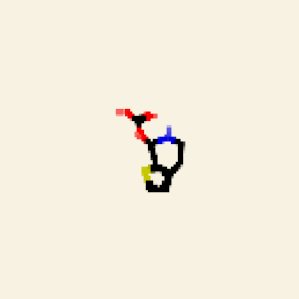 O=C(O)OC1NCCc2ccsc21